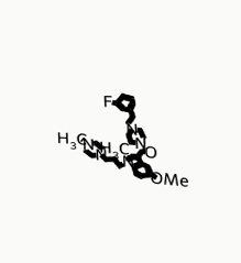 COc1ccc2c(c1)c(C(=O)N1CCN(CCc3cccc(F)c3)CC1)c(C)n2CCCN1CCN(C)CC1